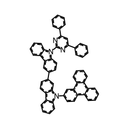 c1ccc(-c2cc(-c3ccccc3)nc(-n3c4ccccc4c4cc(-c5ccc6c7ccccc7n(-c7ccc8c9ccccc9c9ccccc9c8c7)c6c5)ccc43)n2)cc1